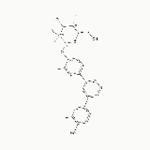 Cc1cc(-c2cncc(-c3ccc(O[C@H]4OC(CO)[C@@H](O)C(O)[C@]4(C)O)c(C)c3)c2)ccc1O